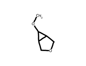 COC1C2COCC21